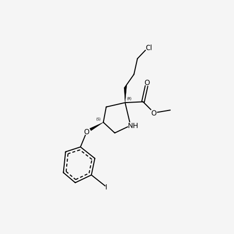 COC(=O)[C@@]1(CCCCl)C[C@H](Oc2cccc(I)c2)CN1